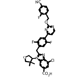 CC1(C)COCC1n1c(Cc2cc(F)c(-c3ccnc(OCc4ccc(C#N)cc4F)n3)cc2F)nc2c(Cl)cc(C(=O)O)cc21